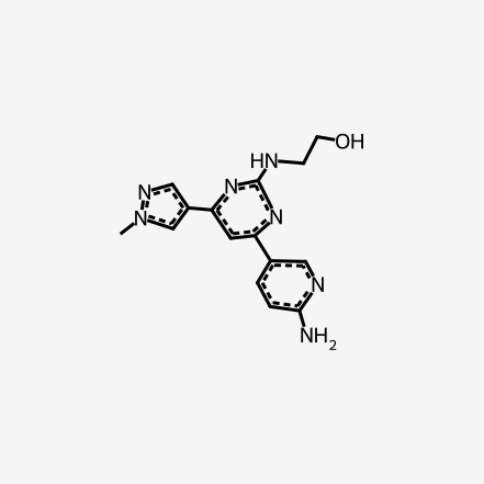 Cn1cc(-c2cc(-c3ccc(N)nc3)nc(NCCO)n2)cn1